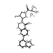 C[C@@](O)(C(=O)N1CC(F)C(N2CCc3nc(-c4cccc5cnnn45)ccc3C2=O)C1)C(F)(F)F